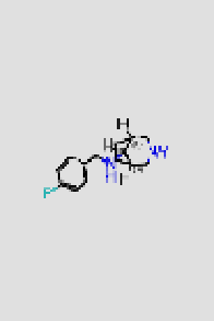 Fc1ccc(CN[C@H]2[C@@H]3CC[C@H]2CNC3)cc1